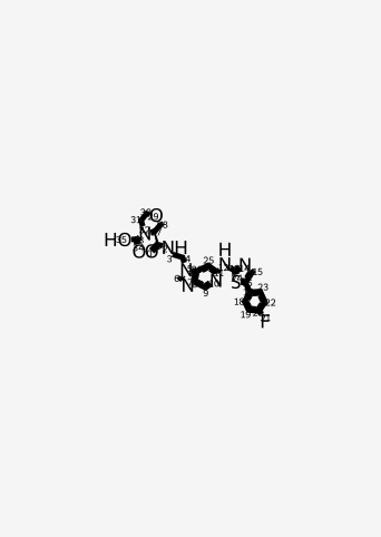 O=C(NCCn1cnc2cnc(Nc3ncc(-c4ccc(F)cc4)s3)cc21)[C@@H]1COCCN1C(=O)O